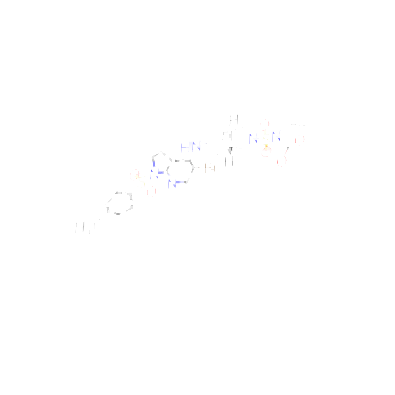 Cc1ccc(S(=O)(=O)n2ccc3c(NC4C[C@@H]5CN(S(=O)(=O)N6CCOC6=O)C[C@@H]5C4)c(Br)cnc32)cc1